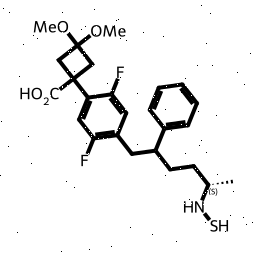 COC1(OC)CC(C(=O)O)(c2cc(F)c(CC(CC[C@H](C)NS)c3ccccc3)cc2F)C1